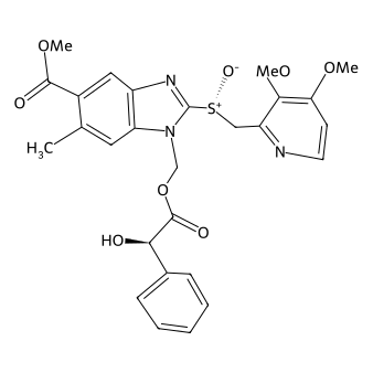 COC(=O)c1cc2nc([S@+]([O-])Cc3nccc(OC)c3OC)n(COC(=O)[C@H](O)c3ccccc3)c2cc1C